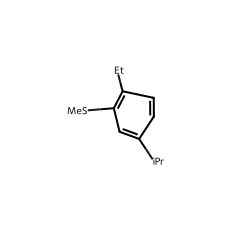 CCc1ccc(C(C)C)cc1SC